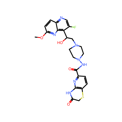 COc1ccc2ncc(F)c(C(O)CN3CCN(NC(=O)c4ccc5c(n4)NC(=O)CS5)CC3)c2n1